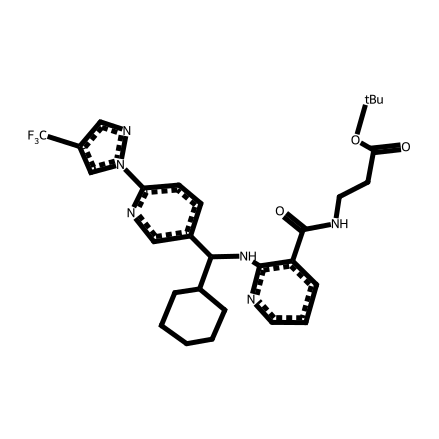 CC(C)(C)OC(=O)CCNC(=O)c1cccnc1NC(c1ccc(-n2cc(C(F)(F)F)cn2)nc1)C1CCCCC1